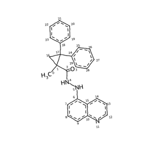 CC1(C(=O)NNc2cccc3ncccc23)CC1(c1ccccc1)c1ccccc1